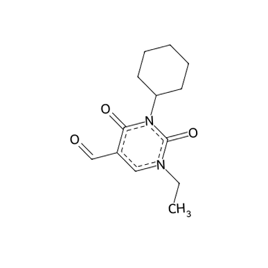 CCn1cc(C=O)c(=O)n(C2CCCCC2)c1=O